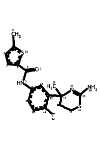 Cc1ccc(C(=O)Nc2ccc(F)c(C3(C)CCSC(N)=N3)c2)s1